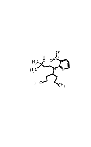 CCCC(CCC)N(CCC(C)(C)C)c1ncccc1[N+](=O)[O-]